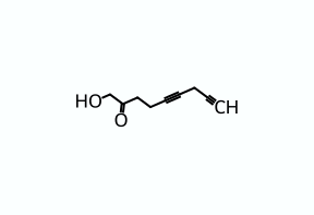 C#CCC#CCCC(=O)CO